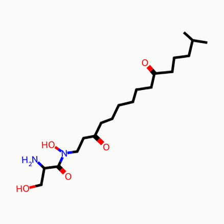 CC(C)CCCC(=O)CCCCCCC(=O)CCN(O)C(=O)C(N)CO